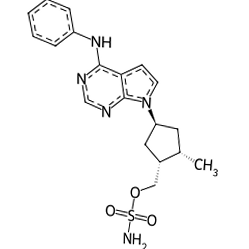 C[C@H]1C[C@H](n2ccc3c(Nc4ccccc4)ncnc32)C[C@H]1COS(N)(=O)=O